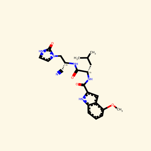 COc1cccc2[nH]c(C(=O)N[C@@H](CC(C)C)C(=O)N[C@H](C#N)Cn3cc[nH]c3=O)cc12